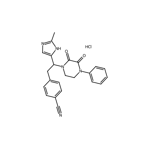 Cc1ncc(C(Cc2ccc(C#N)cc2)N2CCN(c3ccccc3)C(=O)C2=O)[nH]1.Cl